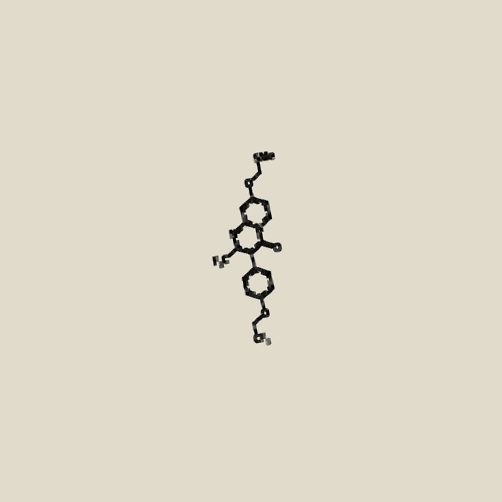 CSCOc1ccn2c(=O)c(-c3ccc(OCC(F)(F)F)cc3)c(C(F)(F)F)nc2c1